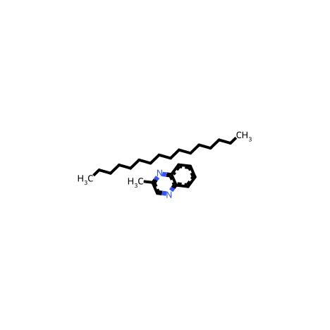 CCCCCCCCCCCCCCCC.Cc1cnc2ccccc2n1